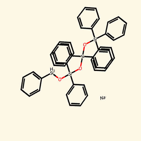 [Na].c1ccc([SiH2]O[Si](O[Si](O[Si](c2ccccc2)(c2ccccc2)c2ccccc2)(c2ccccc2)c2ccccc2)(c2ccccc2)c2ccccc2)cc1